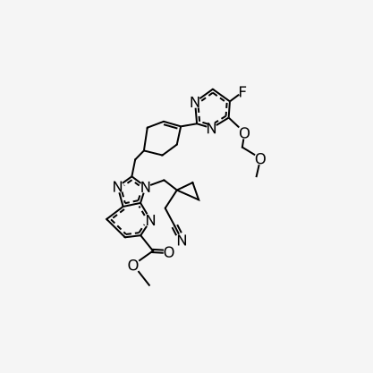 COCOc1nc(C2=CCC(Cc3nc4ccc(C(=O)OC)nc4n3CC3(CC#N)CC3)CC2)ncc1F